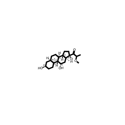 COC(C)C(=O)[C@@]1(O)CC[C@H]2[C@@H]3CC[C@@H]4C[C@H](O)CC[C@]4(C)[C@H]3[C@@H](O)C[C@@]21C